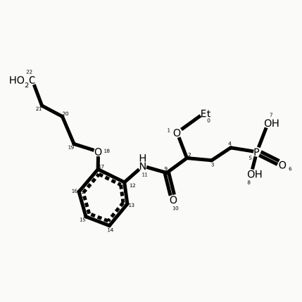 CCOC(CCP(=O)(O)O)C(=O)Nc1ccccc1OCCCC(=O)O